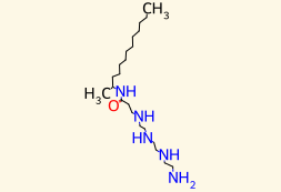 CCCCCCCCCCCC(C)NC(=O)CCNCCNCCNCCN